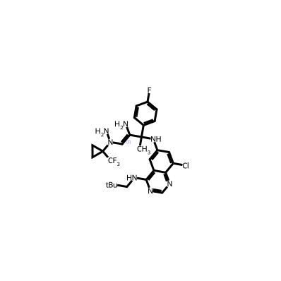 CC(C)(C)CNc1ncnc2c(Cl)cc(NC(C)(/C(N)=C/N(N)C3(C(F)(F)F)CC3)c3ccc(F)cc3)cc12